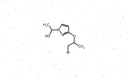 CC(CBr)Oc1ccn(C(C)O)n1